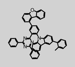 Cc1ccccc1-c1ccc2c(c1)c1ccccc1n2-c1ccc(-c2cccc3oc4ccccc4c23)cc1-c1nc(-c2ccccc2)nc(-c2ccccc2)n1